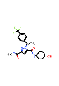 CNC(=O)c1cc(C(=O)N[C@H]2CC[C@H](O)CC2)n([C@@H](C)c2ccc(C(F)(F)F)cc2)n1